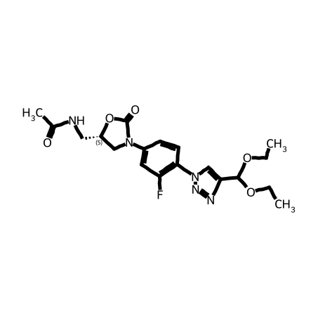 CCOC(OCC)c1cn(-c2ccc(N3C[C@H](CNC(C)=O)OC3=O)cc2F)nn1